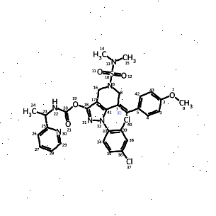 COc1ccc(/C=C2\CN(S(=O)(=O)N(C)C)Cc3c(OC(=O)NC(C)c4ccccn4)nn(-c4ccc(Cl)cc4Cl)c32)cc1